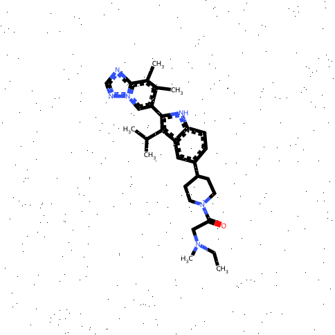 CCN(C)CC(=O)N1CCC(c2ccc3[nH]c(-c4cn5ncnc5c(C)c4C)c(C(C)C)c3c2)CC1